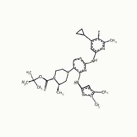 Cc1nc(Nc2ncc(N3CCN(C(=O)OC(C)(C)C)[C@H](C)C3)c(Nc3cc(C)n(C)n3)n2)cc(C2CC2)c1F